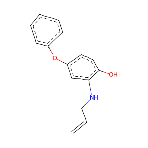 C=CCNc1cc(Oc2ccccc2)ccc1O